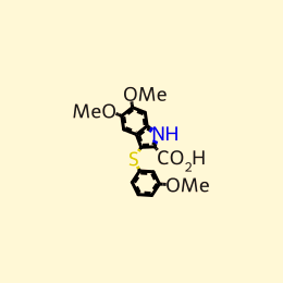 COc1cccc(Sc2c(C(=O)O)[nH]c3cc(OC)c(OC)cc23)c1